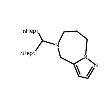 CCCCCCCC(CCCCCCC)N1CCCn2nccc2C1